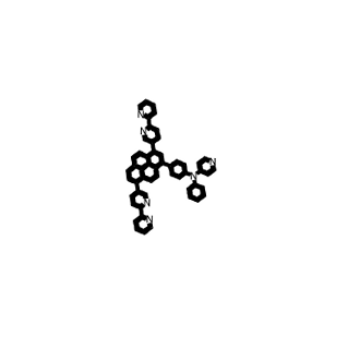 c1ccc(N(c2ccncc2)c2ccc(-c3cc(-c4ccc(-c5ccccn5)nc4)c4ccc5ccc(-c6ccc(-c7ccccn7)nc6)c6ccc3c4c56)cc2)cc1